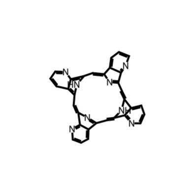 c1cnc2c(c1)-c1cc3[nH]c(cc4nc(cc5[nH]c(cc-2n1)c1cccnc51)-c1cccnc1-4)c1cccnc31